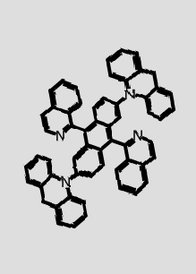 c1ccc2c(c1)Cc1ccccc1N2c1ccc2c(-c3nccc4ccccc34)c3cc(N4c5ccccc5Cc5ccccc54)ccc3c(-c3nccc4ccccc34)c2c1